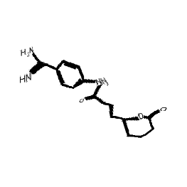 N=C(N)c1ccc(NC(=O)CCC2CCCC(=O)O2)cc1